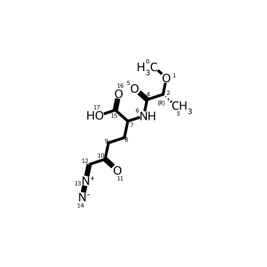 CO[C@H](C)C(=O)NC(CCC(=O)C=[N+]=[N-])C(=O)O